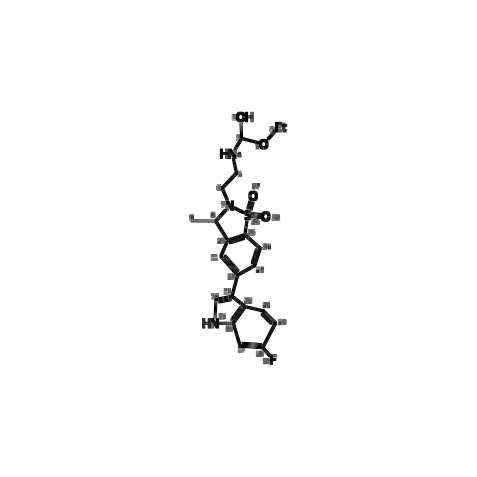 CCOC(O)NCCN1C(C)c2cc(-c3c[nH]c4cc(F)ccc34)ccc2S1(=O)=O